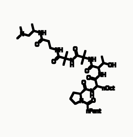 CCCCCCCCC(NC(=O)[C@@H]1CCCN1C(=O)CCCCC)C(=O)NC(C(=O)NC(C)(C)C(=O)NC(C)(C)C(=O)NCCC(=O)NC(C)CN(C)C)C(C)O